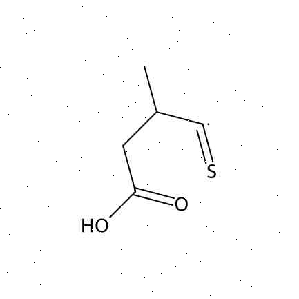 CC([C]=S)CC(=O)O